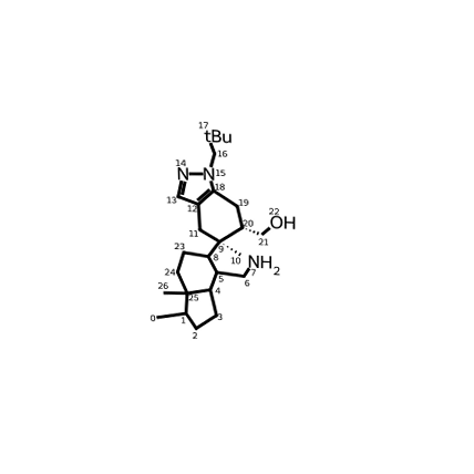 CC1CCC2C(CN)C([C@@]3(C)Cc4cnn(CC(C)(C)C)c4C[C@@H]3CO)CCC12C